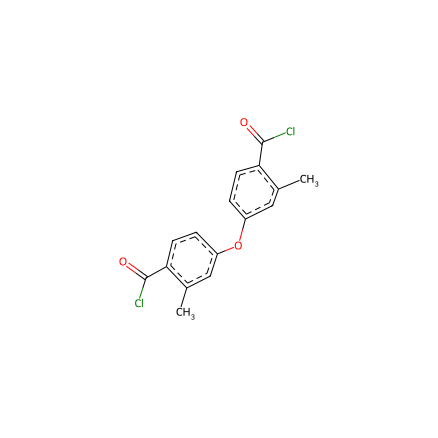 Cc1cc(Oc2ccc(C(=O)Cl)c(C)c2)ccc1C(=O)Cl